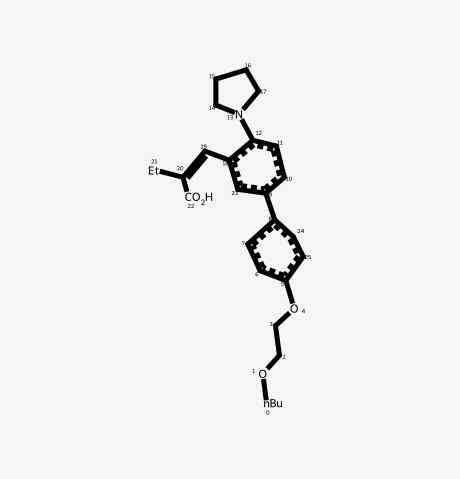 CCCCOCCOc1ccc(-c2ccc(N3CCCC3)c(C=C(CC)C(=O)O)c2)cc1